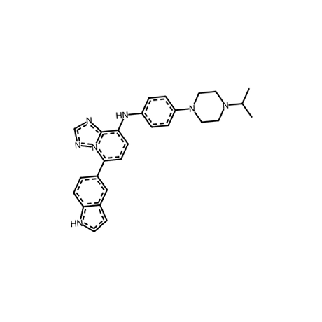 CC(C)N1CCN(c2ccc(Nc3ccc(-c4ccc5[nH]ccc5c4)n4ncnc34)cc2)CC1